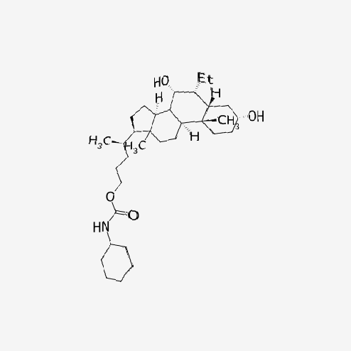 CC[C@H]1[C@@H](O)C2[C@@H]3CC[C@H]([C@H](C)CCCOC(=O)NC4CCCCC4)C3(C)CC[C@@H]2[C@@]2(C)CC[C@@H](O)C[C@@H]12